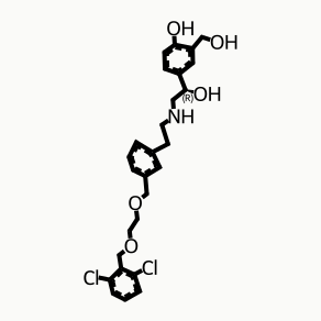 OCc1cc([C@@H](O)CNCCc2cccc(COCCOCc3c(Cl)cccc3Cl)c2)ccc1O